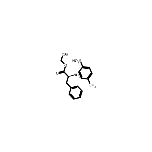 CC(C)(C)COC(=O)[C@@H](N)Cc1ccccc1.Cc1ccc(S(=O)(=O)O)cc1